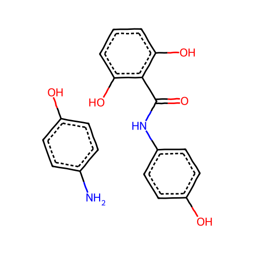 Nc1ccc(O)cc1.O=C(Nc1ccc(O)cc1)c1c(O)cccc1O